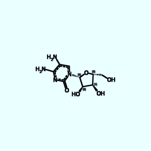 Nc1cn([C@@H]2O[C@H](CO)[C@@H](O)[C@H]2O)c(=O)nc1N